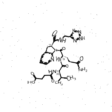 CC(C)[C@H](NC(=O)CCC(=O)O)C(=O)N[C@@H](CCC(N)=O)C(=O)N1c2ncccc2C[C@H]1C(=O)NCc1nn[nH]n1